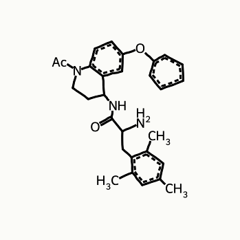 CC(=O)N1CCC(NC(=O)C(N)Cc2c(C)cc(C)cc2C)c2cc(Oc3ccccc3)ccc21